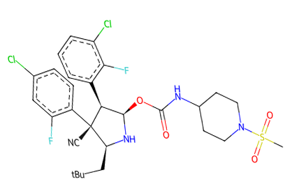 CC(C)(C)C[C@@H]1N[C@H](OC(=O)NC2CCN(S(C)(=O)=O)CC2)[C@H](c2cccc(Cl)c2F)[C@@]1(C#N)c1ccc(Cl)cc1F